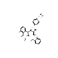 CCOC(=O)C(C1=NN(c2ccc(NS(C)(=O)=O)cc2)C(=O)C1=CNc1ccccc1CC)c1cccc(N)c1CC